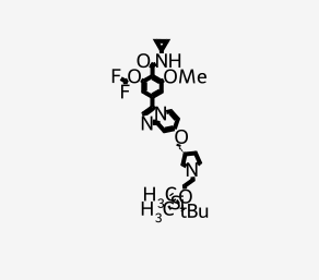 COc1cc(-c2cnc3cc(OC[C@@H]4CCN(CCO[Si](C)(C)C(C)(C)C)C4)ccn23)cc(OC(F)F)c1C(=O)NC1CC1